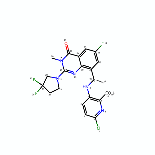 C[C@H](Nc1ccc(Cl)nc1C(=O)O)c1cc(F)cc2c(=O)n(C)c(N3CCC(F)(F)C3)nc12